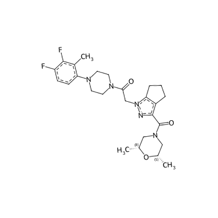 Cc1c(N2CCN(C(=O)Cn3nc(C(=O)N4C[C@@H](C)O[C@@H](C)C4)c4c3CCC4)CC2)ccc(F)c1F